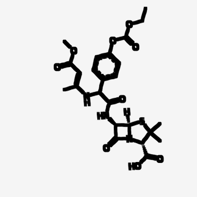 CCOC(=O)Oc1ccc(C(NC(C)=CC(=O)OC)C(=O)N[C@@H]2C(=O)N3[C@@H]2SC(C)(C)[C@@H]3C(=O)O)cc1